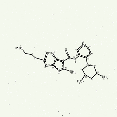 COCCCc1cnc2c(C(=O)Nc3cnccc3N3CC(N)CC(C(F)(F)F)C3)c(N)oc2c1